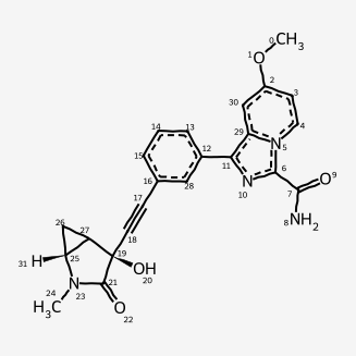 COc1ccn2c(C(N)=O)nc(-c3cccc(C#C[C@]4(O)C(=O)N(C)[C@@H]5CC54)c3)c2c1